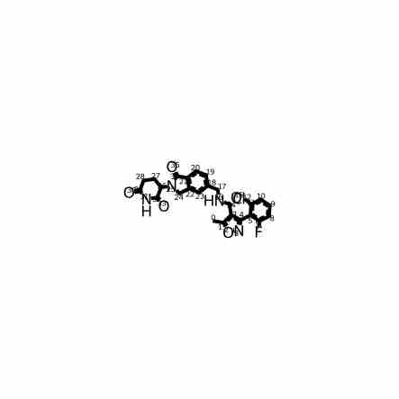 Cc1onc(-c2c(F)cccc2Cl)c1C(=O)NCc1ccc2c(c1)CN(C1CCC(=O)NC1=O)C2=O